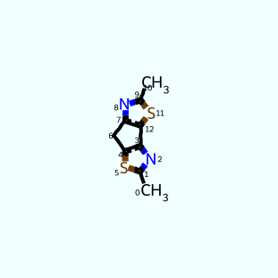 Cc1nc2c(s1)Cc1nc(C)sc1-2